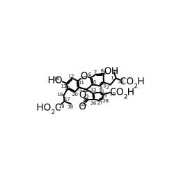 CC(Cc1cc2c(cc1O)Oc1cc(O)c(CC(C)C(=O)O)cc1C21OC(=O)c2ccc(C(=O)O)cc21)C(=O)O